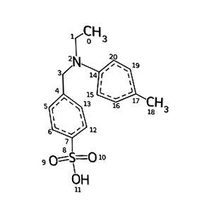 CCN(Cc1ccc(S(=O)(=O)O)cc1)c1ccc(C)cc1